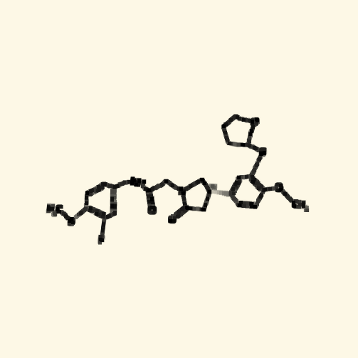 COc1ccc(NC(=O)CN2C[C@H](c3ccc(OC)c(OC4CCCO4)c3)CC2=O)cc1F